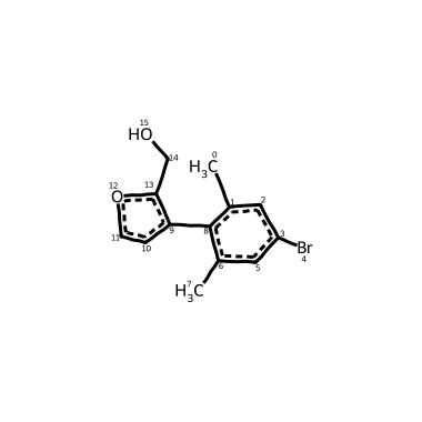 Cc1cc(Br)cc(C)c1-c1ccoc1CO